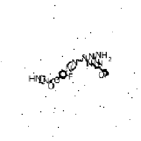 CN(CCN1CCN(c2ccc(OCC(=O)N3CCNCC3)cc2F)CC1)c1nc(N)n2nc(-c3ccco3)cc2n1